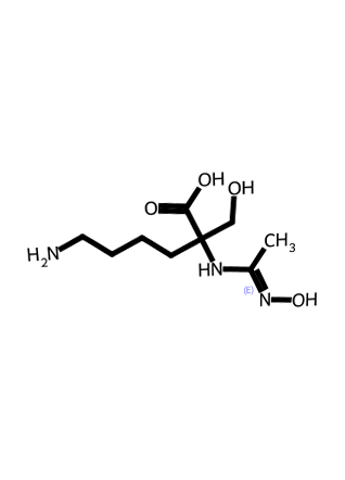 C/C(=N\O)NC(CO)(CCCCN)C(=O)O